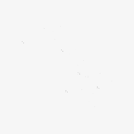 Cn1c(=O)c(C(=O)N(COC(=O)C(C)(C)C)Cc2ccc(C#N)cc2)cc2ccnc(OCC3(S(=O)(=O)N4COCOC4)CC3)c21